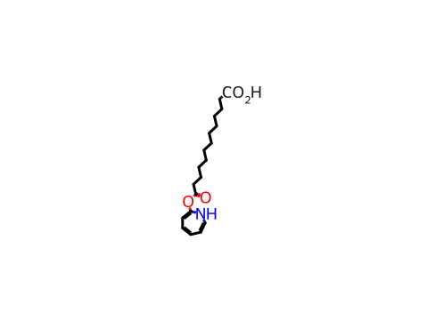 O=C(O)CCCCCCCCCCCC(=O)OC1=CC=CC=CN1